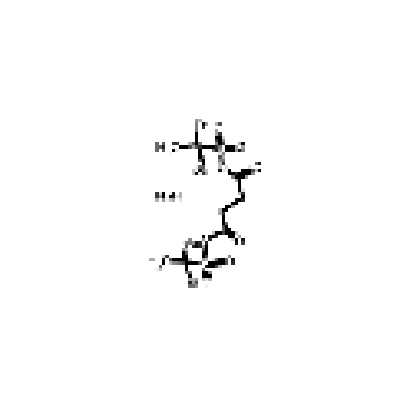 CCCCC(C)(CC)S(=O)(=O)OC(=O)CCC(=O)OS(=O)(=O)C(C)(CC)CCCC.[NaH]